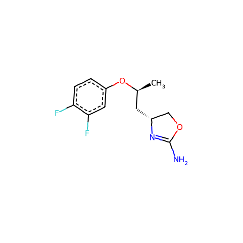 C[C@@H](C[C@@H]1COC(N)=N1)Oc1ccc(F)c(F)c1